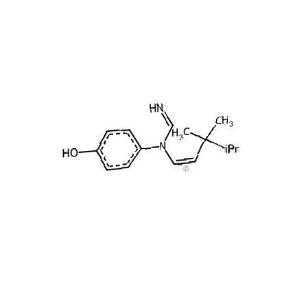 CC(C)C(C)(C)/C=C\N(C=N)c1ccc(O)cc1